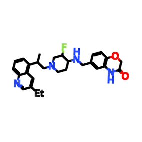 CCc1cnc2cccc(C(C)CN3CCC(NCc4ccc5c(c4)NC(=O)CO5)C(F)C3)c2c1